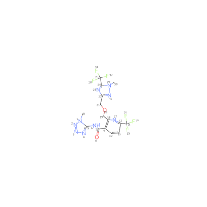 Cn1nnnc1NC(=O)c1ccc(C(F)(F)F)nc1COCc1nc(C(F)(F)F)n(C)n1